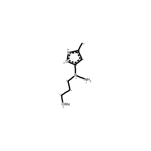 COCCCN(N)c1cc(C)no1